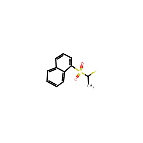 CC([S])S(=O)(=O)c1cccc2ccccc12